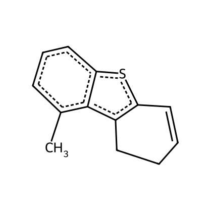 Cc1cccc2sc3c(c12)CCC=C3